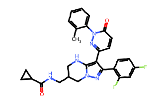 Cc1ccccc1-n1nc(-c2c(-c3ccc(F)cc3F)nn3c2NCC(CNC(=O)C2CC2)C3)ccc1=O